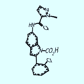 Cn1nccc1C(=O)Nc1ccc2cc(-c3ccccc3Cl)n(C(=O)O)c2c1